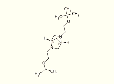 CC(C)OCCN1C[C@@H]2C[C@H]1CN2CCOC(C)(C)C